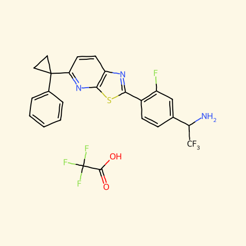 NC(c1ccc(-c2nc3ccc(C4(c5ccccc5)CC4)nc3s2)c(F)c1)C(F)(F)F.O=C(O)C(F)(F)F